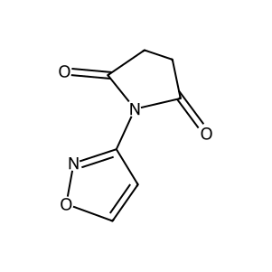 O=C1CCC(=O)N1c1ccon1